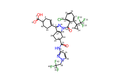 O=C(O)C1CC=C(c2nn(C(=O)c3c(Cl)cccc3C3(C(F)(F)F)CC3)c3c2CCC(C(=O)Nc2ccn(CC(F)(F)F)n2)C3)CC1